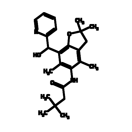 Cc1c2c(c(C(O)c3ccccn3)c(C)c1NC(=O)CC(C)(C)C)OC(C)(C)C2